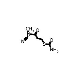 CN(C#N)C(=O)[CH]CSC(N)=O